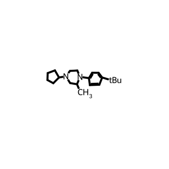 CC1CN(C2CCCC2)CCN1c1ccc(C(C)(C)C)cc1